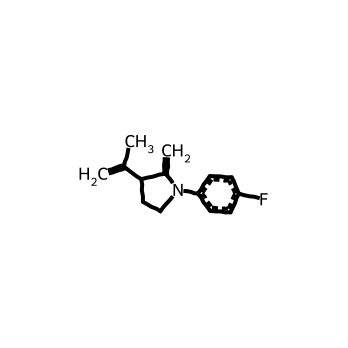 C=C(C)C1CCN(c2ccc(F)cc2)C1=C